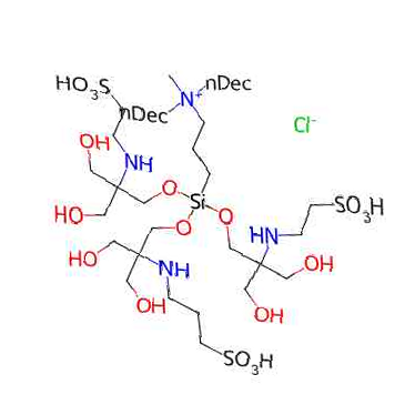 CCCCCCCCCC[N+](C)(CCCCCCCCCC)CCC[Si](OCC(CO)(CO)NCCCS(=O)(=O)O)(OCC(CO)(CO)NCCS(=O)(=O)O)OCC(CO)(CO)NCCS(=O)(=O)O.[Cl-]